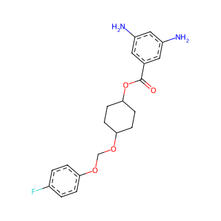 Nc1cc(N)cc(C(=O)OC2CCC(OCOc3ccc(F)cc3)CC2)c1